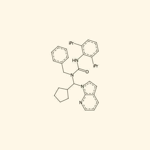 CC(C)c1cccc(C(C)C)c1NC(=O)N(Cc1ccccc1)C(C1CCCC1)n1ccc2cccnc21